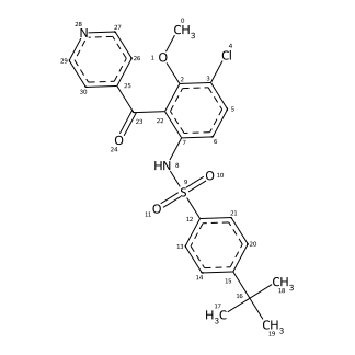 COc1c(Cl)ccc(NS(=O)(=O)c2ccc(C(C)(C)C)cc2)c1C(=O)c1ccncc1